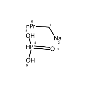 CCC[CH2][Na].O=[PH](O)O